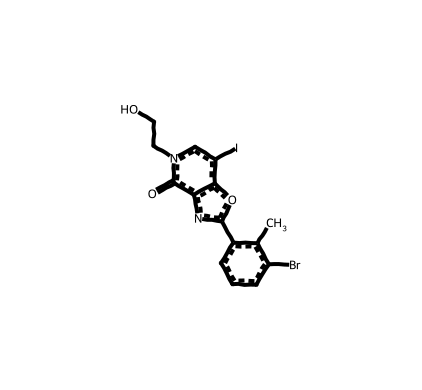 Cc1c(Br)cccc1-c1nc2c(=O)n(CCO)cc(I)c2o1